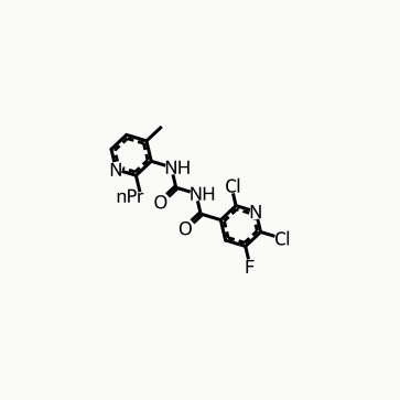 CCCc1nccc(C)c1NC(=O)NC(=O)c1cc(F)c(Cl)nc1Cl